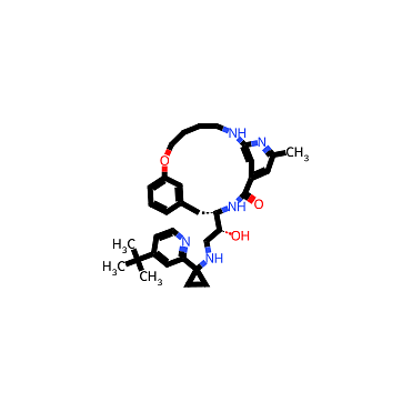 Cc1cc2cc(n1)NCCCCOc1cccc(c1)C[C@@H]([C@H](O)CNC1(c3cc(C(C)(C)C)ccn3)CC1)NC2=O